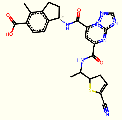 Cc1c(C(=O)O)ccc2c1CC[C@@H]2NC(=O)c1cc(C(=O)NC(C)C2CC=C(C#N)S2)nc2ncnn12